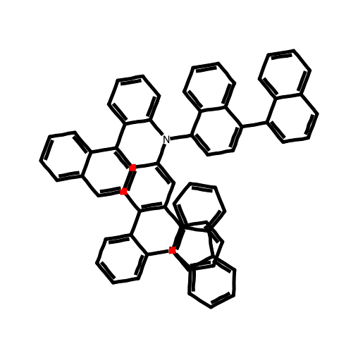 c1ccc(-c2cc(N(c3ccccc3-c3cccc4ccccc34)c3ccc(-c4cccc5ccccc45)c4ccccc34)ccc2-c2ccccc2-n2c3ccccc3c3ccccc32)cc1